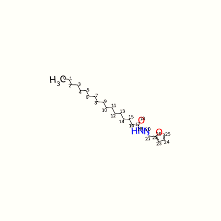 CCCCCCCCCCCCCCCCCC(=O)NN=Cc1ccco1